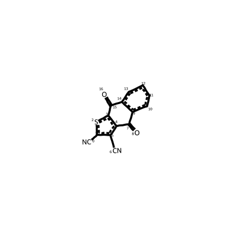 N#Cc1sc2c(c1C#N)C(=O)c1ccccc1C2=O